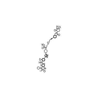 CC[C@@H]1C(=O)N(C)c2cnc(Nc3ccc(-c4cn([C@H]5CC[C@@H](N(CCCOCCC#Cc6ccc7c(c6)CN(C6CCC(=O)NC6=O)C7=O)C(=O)OC(C)(C)C)CC5)nn4)cc3OC)nc2N1C1CCCC1